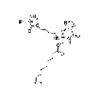 CCCCCCCCCCCC=CCCCCC(=O)OCC1(NCCCCOC(=O)[C@@H](N)C(C)C)N=C2N=CN=C2C(=O)N1